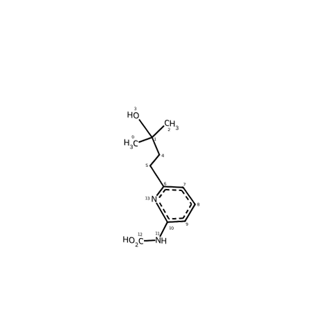 CC(C)(O)CCc1cccc(NC(=O)O)n1